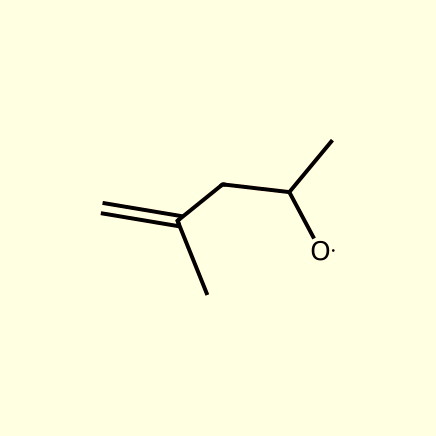 C=C(C)CC(C)[O]